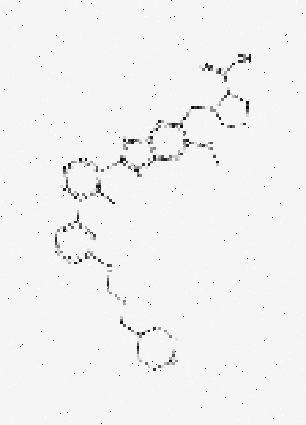 COc1cc2nc(-c3cccc(-c4cccc(OCCCN5CCOCC5)c4)c3C)sc2cc1CN1CCCC1C(=O)O